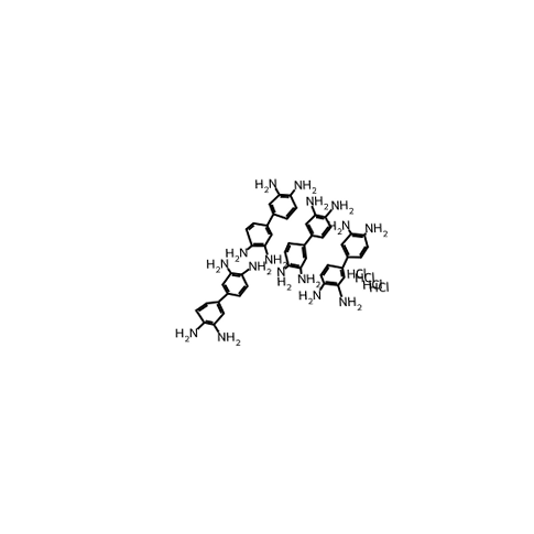 Cl.Cl.Cl.Cl.Nc1ccc(-c2ccc(N)c(N)c2)cc1N.Nc1ccc(-c2ccc(N)c(N)c2)cc1N.Nc1ccc(-c2ccc(N)c(N)c2)cc1N.Nc1ccc(-c2ccc(N)c(N)c2)cc1N